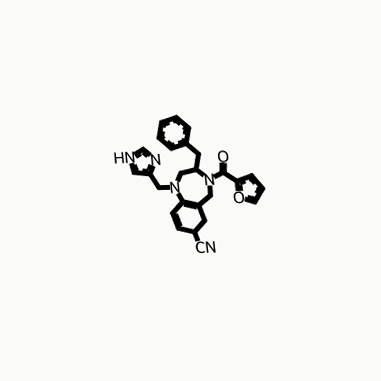 N#CC1C=CC2=C(C1)CN(C(=O)c1ccco1)C(Cc1ccccc1)CN2Cc1c[nH]cn1